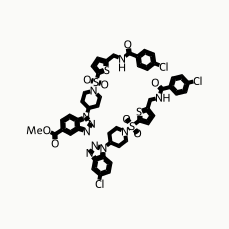 COC(=O)c1ccc2c(c1)nnn2C1CCN(S(=O)(=O)c2ccc(CNC(=O)c3ccc(Cl)cc3)s2)CC1.O=C(NCc1ccc(S(=O)(=O)N2CCC(n3nnc4cc(Cl)ccc43)CC2)s1)c1ccc(Cl)cc1